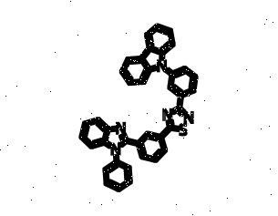 c1ccc(-n2c(-c3cccc(-c4nc(-c5cccc(-n6c7ccccc7c7ccccc76)c5)ns4)c3)nc3ccccc32)cc1